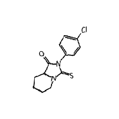 O=C1C2CCCCN2C(=S)N1c1ccc(Cl)cc1